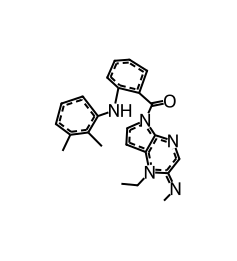 CCn1/c(=N\C)cnc2c1ccn2C(=O)c1ccccc1Nc1cccc(C)c1C